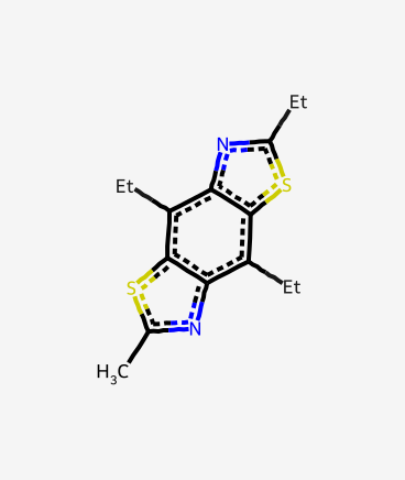 CCc1nc2c(CC)c3sc(C)nc3c(CC)c2s1